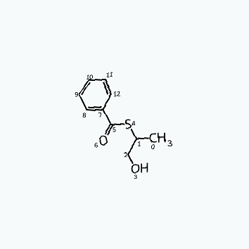 CC(CO)SC(=O)c1ccccc1